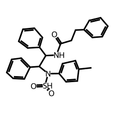 Cc1ccc(N(C(c2ccccc2)C(NC(=O)CCc2ccccc2)c2ccccc2)[SH](=O)=O)cc1